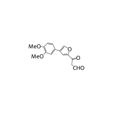 COc1ccc(-c2coc(C(=O)CC=O)c2)cc1OC